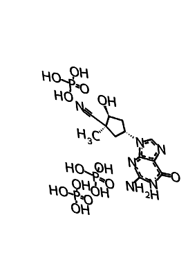 C[C@@]1(C#N)C[C@@H](n2cnc3c(=O)[nH]c(N)nc32)C[C@@H]1O.O=P(O)(O)O.O=P(O)(O)O.O=P(O)(O)O